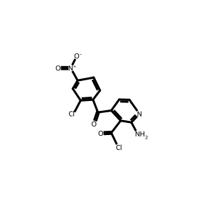 Nc1nccc(C(=O)c2ccc([N+](=O)[O-])cc2Cl)c1C(=O)Cl